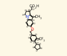 Cc1c2n(c3ccc(OCc4ccc(C5CCCC5)c(C(F)(F)F)c4)cc13)CC[C@H]2CC(=O)O